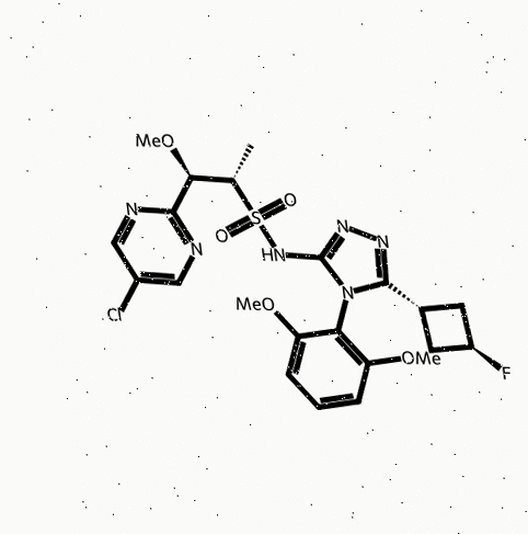 COc1cccc(OC)c1-n1c(NS(=O)(=O)[C@@H](C)[C@H](OC)c2ncc(Cl)cn2)nnc1[C@H]1C[C@H](F)C1